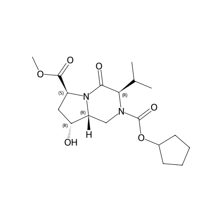 COC(=O)[C@@H]1C[C@@H](O)[C@H]2CN(C(=O)OC3CCCC3)[C@H](C(C)C)C(=O)N21